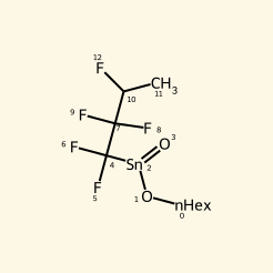 CCCCCC[O][Sn](=[O])[C](F)(F)C(F)(F)C(C)F